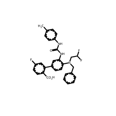 Cc1ccc(NC(=O)Nc2cc(-c3cc(F)ccc3C(=O)O)ccc2N(Cc2ccccc2)CC(F)F)cc1